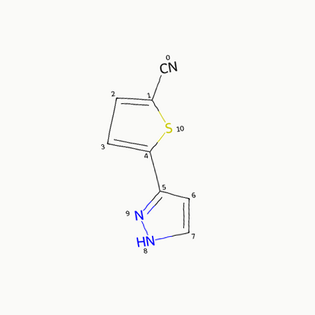 N#Cc1ccc(-c2cc[nH]n2)s1